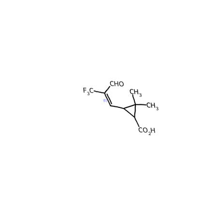 CC1(C)C(/C=C(\C=O)C(F)(F)F)C1C(=O)O